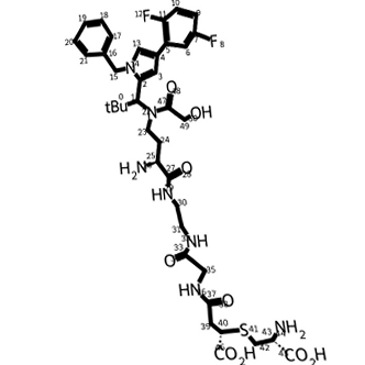 CC(C)(C)C(c1cc(-c2cc(F)ccc2F)cn1Cc1ccccc1)N(CC[C@H](N)C(=O)NCCNC(=O)CNC(=O)C[C@H](SC[C@H](N)C(=O)O)C(=O)O)C(=O)CO